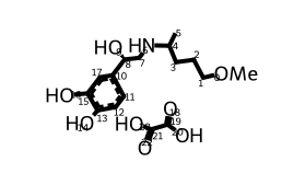 COCCCC(C)NC[C@H](O)c1ccc(O)c(O)c1.O=C(O)C(=O)O